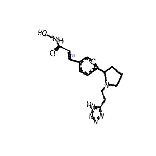 O=C(/C=C/c1ccc(C2CCCN2CCc2nnn[nH]2)cc1)NO